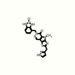 Cn1c2nc(Cc3cc[nH]n3)sc2c2cnn(Cc3cccc4c3N[S+]([O-])N4)c(=O)c21